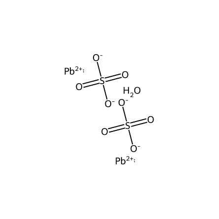 O.O=S(=O)([O-])[O-].O=S(=O)([O-])[O-].[Pb+2].[Pb+2]